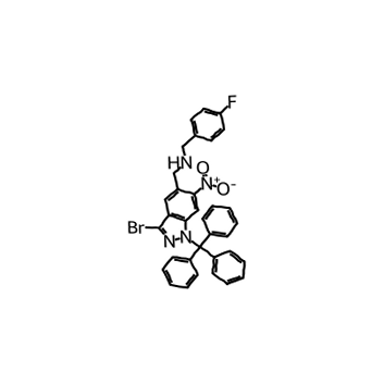 O=[N+]([O-])c1cc2c(cc1CNCc1ccc(F)cc1)c(Br)nn2C(c1ccccc1)(c1ccccc1)c1ccccc1